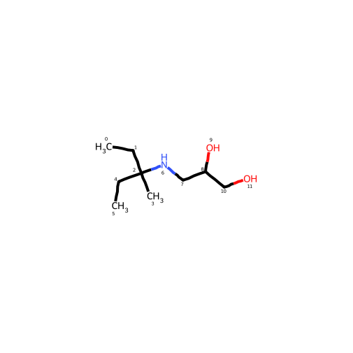 CCC(C)(CC)NCC(O)CO